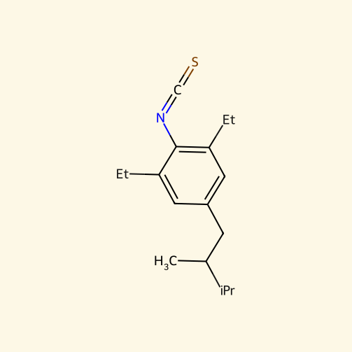 CCc1cc(CC(C)C(C)C)cc(CC)c1N=C=S